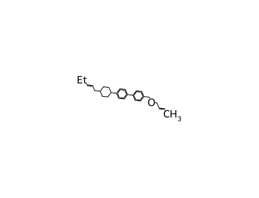 CC=CCOCc1ccc(-c2ccc(C3CCC(C/C=C/CC)CC3)cc2)cc1